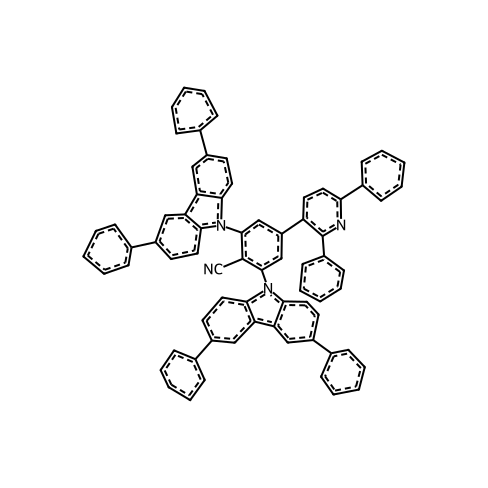 N#Cc1c(-n2c3ccc(-c4ccccc4)cc3c3cc(-c4ccccc4)ccc32)cc(-c2ccc(-c3ccccc3)nc2-c2ccccc2)cc1-n1c2ccc(-c3ccccc3)cc2c2cc(-c3ccccc3)ccc21